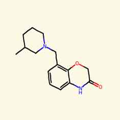 CC1CCCN(Cc2cccc3c2OCC(=O)N3)C1